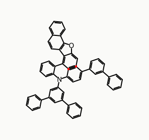 c1ccc(-c2cccc(-c3ccc(N(c4cc(-c5ccccc5)cc(-c5ccccc5)c4)c4ccccc4-c4cccc5oc6c7ccccc7ccc6c45)cc3)c2)cc1